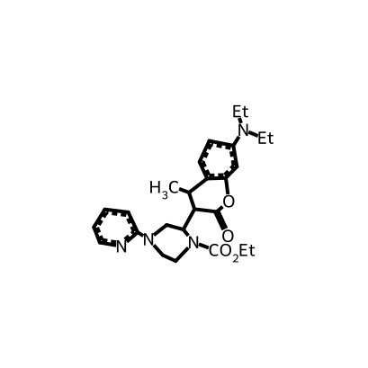 CCOC(=O)N1CCN(c2ccccn2)CC1C1C(=O)Oc2cc(N(CC)CC)ccc2C1C